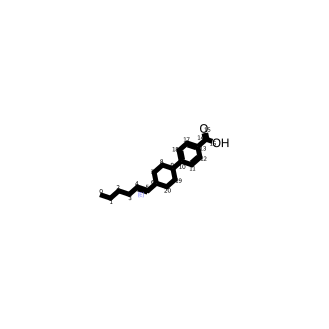 CCCC/C=C/C1CCC(c2ccc(C(=O)O)cc2)CC1